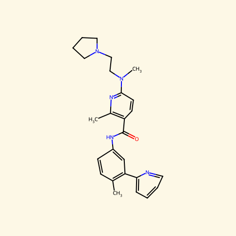 Cc1ccc(NC(=O)c2ccc(N(C)CCN3CCCC3)nc2C)cc1-c1ccccn1